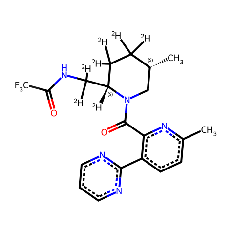 [2H]C1([2H])[C@H](C)CN(C(=O)c2nc(C)ccc2-c2ncccn2)[C@]([2H])(C([2H])([2H])NC(=O)C(F)(F)F)C1([2H])[2H]